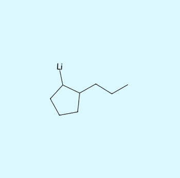 [Li][CH]1CCCC1CCC